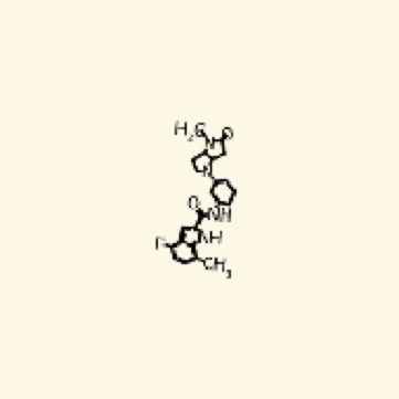 Cc1ccc(F)c2cc(C(=O)N[C@@H]3CCC[C@H](N4CCC5C4CC(=O)N5C)C3)[nH]c12